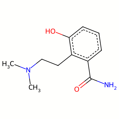 CN(C)CCc1c(O)cccc1C(N)=O